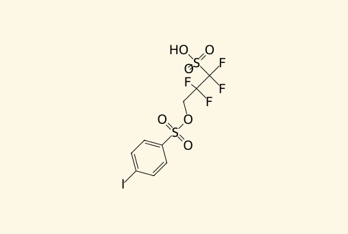 O=S(=O)(OCC(F)(F)C(F)(F)S(=O)(=O)O)c1ccc(I)cc1